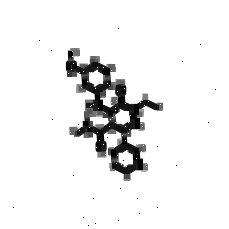 CCn1nc(-c2cccnc2)c(C(=O)N(C)C)c(Nc2cccc(OC)c2)c1=O